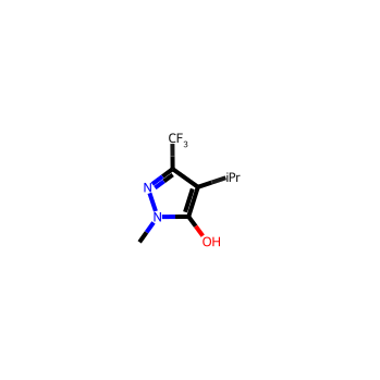 CC(C)c1c(C(F)(F)F)nn(C)c1O